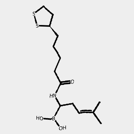 CC(C)=CCC(NC(=O)CCCC[C@@H]1CCSS1)B(O)O